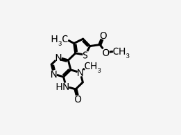 COC(=O)c1cc(C)c(-c2ncnc3c2N(C)CC(=O)N3)s1